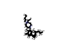 CCCCS/C1=C(\CC)C/C=C(/C)C(Sc2cc3c(cc2C)C=CC(CCC)S3)CC1